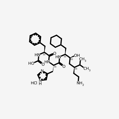 CC(C)[C@@H](CCN)C[C@H](O)[C@H](CC1CCCCC1)NC(=O)[C@H](Cc1c[nH]cn1)NC(=O)[C@H](Cc1ccccc1)NC(=O)O.Cl